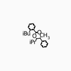 CCC(C)c1ccccc1C(=O)OC(C(C)C)C(C)c1ccccc1